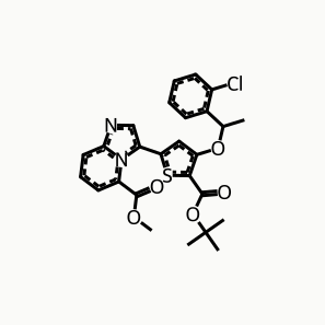 COC(=O)c1cccc2ncc(-c3cc(OC(C)c4ccccc4Cl)c(C(=O)OC(C)(C)C)s3)n12